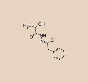 CC(O)C(=O)NN=C(Cl)Cc1ccccc1